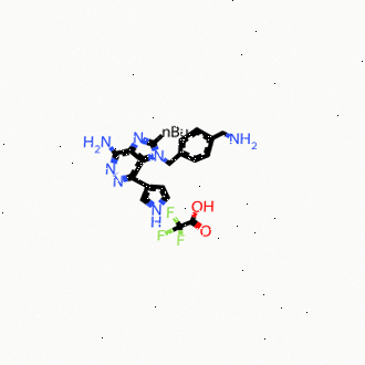 CCCCc1nc2c(N)nnc(-c3cc[nH]c3)c2n1Cc1ccc(CN)cc1.O=C(O)C(F)(F)F